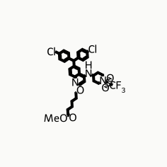 COC(=O)CCCCCOc1cc(NC2CCN(S(=O)(=O)C(F)(F)F)CC2)c2cc(C(c3ccc(Cl)cc3)c3ccc(Cl)cc3)ccc2n1